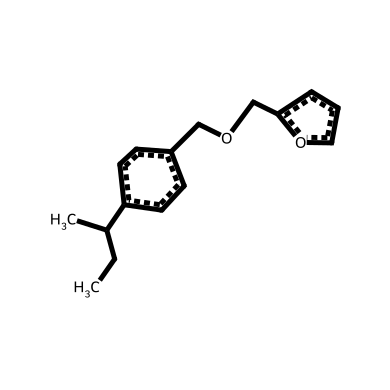 CCC(C)c1ccc(COCc2ccco2)cc1